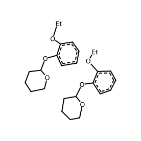 CCOc1ccccc1OC1CCCCO1.CCOc1ccccc1OC1CCCCO1